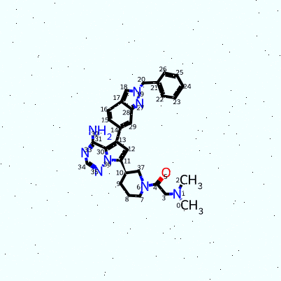 CN(C)CC(=O)N1CCC[C@@H](c2cc(-c3ccc4cn(Cc5ccccc5)nc4c3)c3c(N)ncnn23)C1